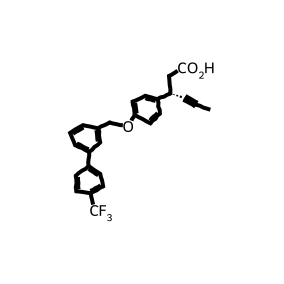 CC#C[C@@H](CC(=O)O)c1ccc(OCc2cccc(-c3ccc(C(F)(F)F)cc3)c2)cc1